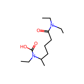 CCN(CC)C(=O)CCCC(C)N(CC)C(=O)O